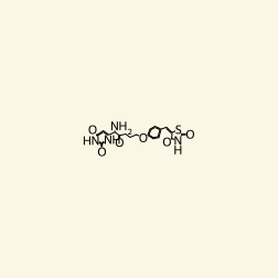 NC(C(=O)CCCOc1ccc(C=C2SC(=O)NC2=O)cc1)c1cc(=O)[nH]c(=O)[nH]1